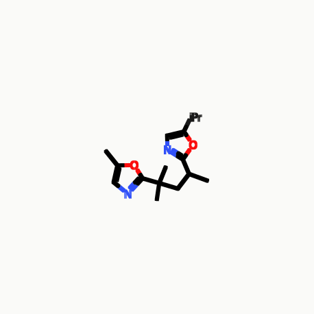 Cc1cnc(C(C)(C)CC(C)c2ncc(C(C)C)o2)o1